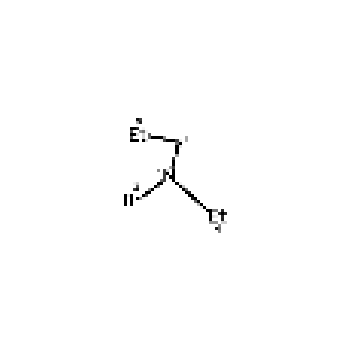 CCCN(Br)CC